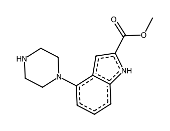 COC(=O)c1cc2c(N3CCNCC3)cccc2[nH]1